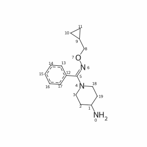 NC1CCN(/C(=N/OCC2CC2)c2ccccc2)CC1